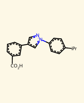 CC(C)c1ccc(-n2cc(-c3cccc(C(=O)O)c3)cn2)cc1